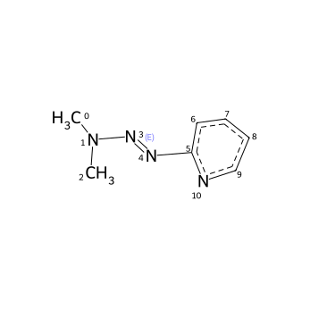 CN(C)/N=N/c1ccccn1